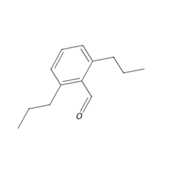 CCCc1cccc(CCC)c1C=O